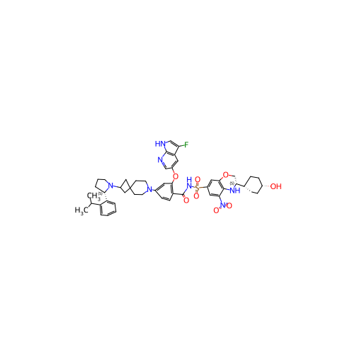 CC(C)c1ccccc1[C@@H]1CCCN1C1CC2(CCN(c3ccc(C(=O)NS(=O)(=O)c4cc5c(c([N+](=O)[O-])c4)N[C@@H]([C@H]4CC[C@@H](O)CC4)CO5)c(Oc4cnc5[nH]cc(F)c5c4)c3)CC2)C1